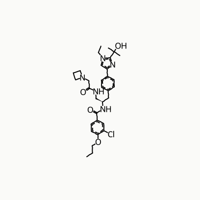 CCCOc1ccc(C(=O)N[C@@H](CNC(=O)CN2CCC2)Cc2ccc(-c3cn(CC)c(C(C)(C)O)n3)cc2)cc1Cl